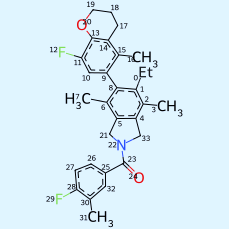 CCc1c(C)c2c(c(C)c1-c1cc(F)c3c(c1C)CCCO3)CN(C(=O)c1ccc(F)c(C)c1)C2